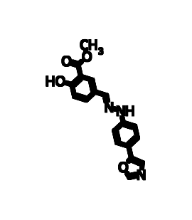 COC(=O)c1cc(C=NNc2ccc(-c3cnco3)cc2)ccc1O